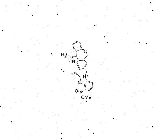 CCCc1nc2c(C(=O)OC)cccc2n1Cc1ccc2c(c1)COc1ccccc1/C2=C(\C)C#N